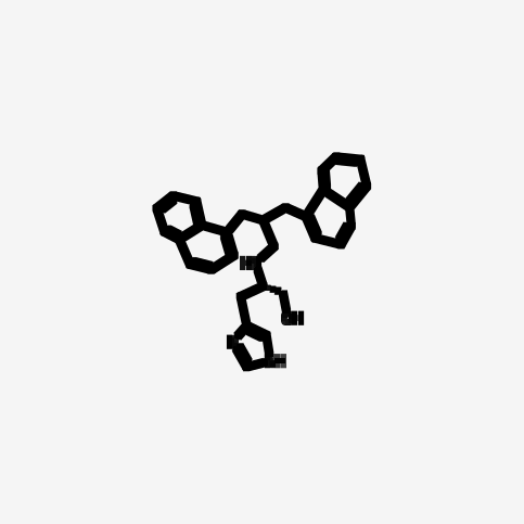 OC[C@H](Cc1c[nH]cn1)NCC(Cc1cccc2ccccc12)Cc1cccc2ccccc12